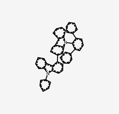 c1ccc(-c2cccc(-c3ccccc3)c2-n2c3ccccc3c3ccc(-c4cccc5c4c4ccccc4n5-c4ccccc4)cc32)cc1